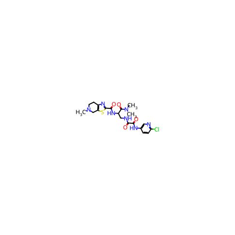 CN1CCc2nc(C(=O)NC(CNC(=O)C(=O)Nc3ccc(Cl)nc3)C(=O)N(C)C)sc2C1